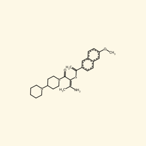 C=C(S/C(C(=O)N1CCC(N2CCCCC2)CC1)=C(/C)N)c1ccc2cc(OC)ccc2c1